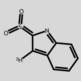 [2H]C1=c2ccccc2=NC1=S(=O)=O